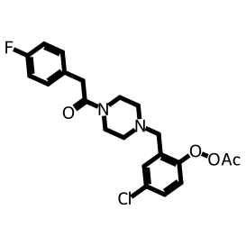 CC(=O)OOc1ccc(Cl)cc1CN1CCN(C(=O)Cc2ccc(F)cc2)CC1